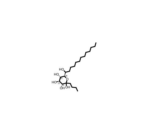 CCCCCCCCCCCCC(O)[C@H]1OC(O)(CCCC)[C@H](O)[C@@H](O)[C@@H]1O